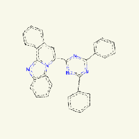 c1ccc(-c2nc(-c3ccccc3)nc(-c3cc4ccccc4c4nc5ccccc5n34)n2)cc1